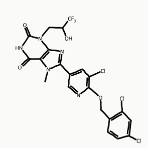 Cn1c(-c2cnc(OCc3ccc(Cl)cc3Cl)c(Cl)c2)nc2c1c(=O)[nH]c(=O)n2CC(O)C(F)(F)F